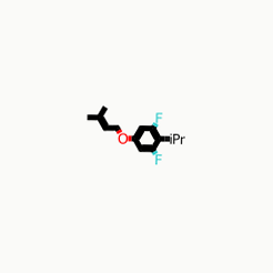 CC(C)=CCOc1cc(F)c(C(C)C)c(F)c1